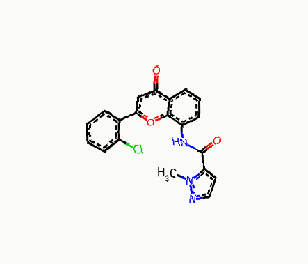 Cn1nccc1C(=O)Nc1cccc2c(=O)cc(-c3ccccc3Cl)oc12